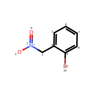 O=[N+]([O-])Cc1ccccc1Br